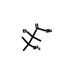 BC(C)(C)C(C)(CC)NC(C)(C)C